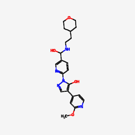 COc1cc(-c2cnn(-c3ccc(C(O)NCCC4CCOCC4)cn3)c2O)ccn1